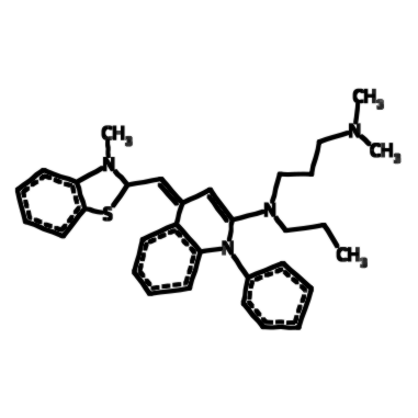 CCCN(CCCN(C)C)C1=C/C(=C/C2Sc3ccccc3N2C)c2ccccc2N1c1ccccc1